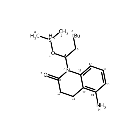 C[SiH](C)OC(CC(C)(C)C)N1C(=O)CCc2c(N)cccc21